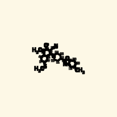 CSc1ccc2c(c1)c(N1CCC(c3nc4cc(C)ccc4o3)CC1)c(C#N)c(=O)n2C